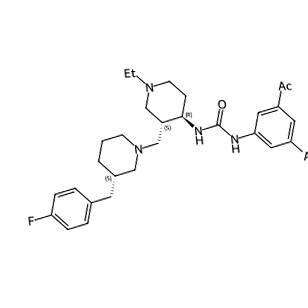 CCN1CC[C@@H](NC(=O)Nc2cc(C(C)=O)cc(C(C)=O)c2)[C@H](CN2CCC[C@@H](Cc3ccc(F)cc3)C2)C1